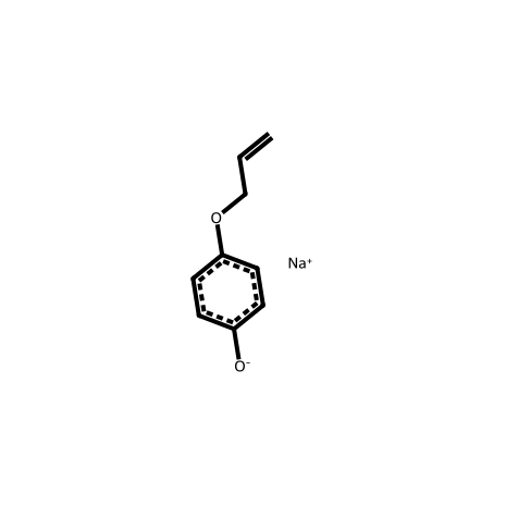 C=CCOc1ccc([O-])cc1.[Na+]